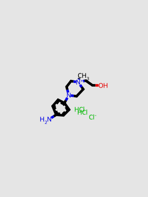 C[N+]1(CCO)CCN(c2ccc(N)cc2)CC1.Cl.Cl.[Cl-]